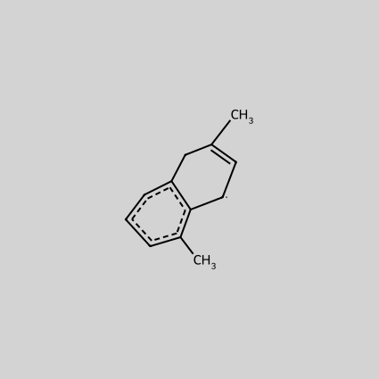 CC1=C[CH]c2c(C)cccc2C1